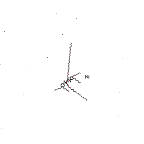 CCCCCCCCCCCCCCCC#CC(=Nc1ccc(CCCCC)c(CCCCC)c1)C(C=CCCCCCCCCCCCCCCCCCCCCCC)=Nc1ccc(CCCCC)c(CCCCC)c1.[Ni]